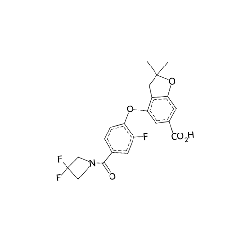 CC1(C)Cc2c(Oc3ccc(C(=O)N4CC(F)(F)C4)cc3F)cc(C(=O)O)cc2O1